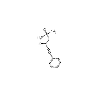 CP(C)(=O)CC(=O)C#Cc1ccccc1